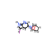 Cn1cc(I)c2cc(N3CC4CCC(C3)O4)cnc21